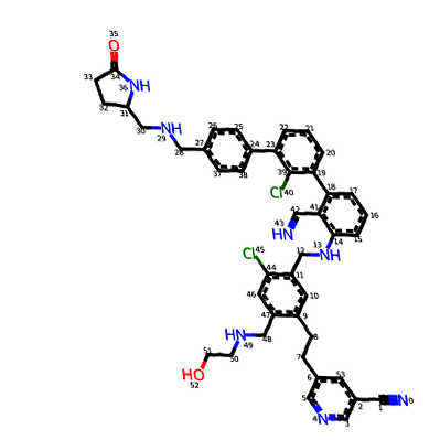 N#Cc1cncc(CCc2cc(CNc3cccc(-c4cccc(-c5ccc(CNCC6CCC(=O)N6)cc5)c4Cl)c3C=N)c(Cl)cc2CNCCO)c1